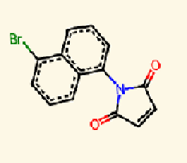 O=C1C=CC(=O)N1c1cccc2c(Br)cccc12